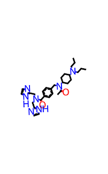 CCCN(CCC)[C@H]1CC[C@H](N(Cc2ccc(C(=O)N(Cc3ncc[nH]3)Cc3ncc[nH]3)cc2)C(C)=O)CC1